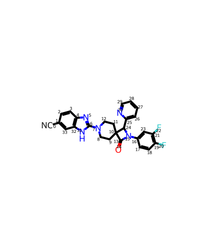 N#Cc1ccc2nc(N3CCC4(CC3)C(=O)N(c3ccc(F)c(F)c3)C4c3ccccn3)[nH]c2c1